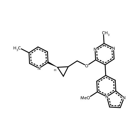 COc1cc(-c2cnc(C)nc2OCC2C[C@H]2c2ccc(C)cn2)cc2nccn12